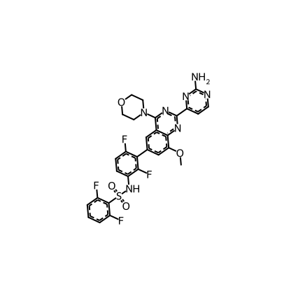 COc1cc(-c2c(F)ccc(NS(=O)(=O)c3c(F)cccc3F)c2F)cc2c(N3CCOCC3)nc(-c3ccnc(N)n3)nc12